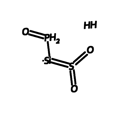 O=[PH2][Si]=S(=O)=O.[HH]